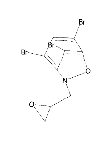 Brc1cc(Br)c2c(Br)c1ON2CC1CO1